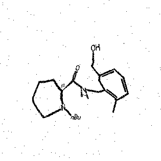 CCCCN1CCCC[C@H]1C(=O)Nc1c(C)cccc1CO